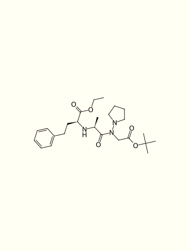 CCOC(=O)[C@H](CCc1ccccc1)N[C@@H](C)C(=O)N(CC(=O)OC(C)(C)C)N1CCCC1